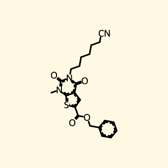 Cn1c(=O)n(CCCCCCC#N)c(=O)c2cc(C(=O)OCc3ccccc3)sc21